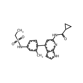 CCS(=O)(=O)Nc1ccc(-c2cc(NC(=O)C3CC3)nc3[nH]ccc23)c(C)c1